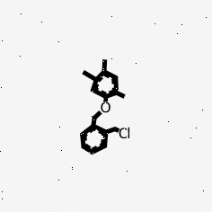 Cc1cc(C)c(OCc2ccccc2CCl)cc1C